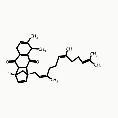 CC(C)=CCCC(C)=CCCC(C)=CC[C@@]12C=C[C@@H](C1)C1C(=O)C3=C(C(=O)C12)C(C)C(C)=CC3